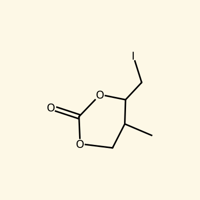 CC1COC(=O)OC1CI